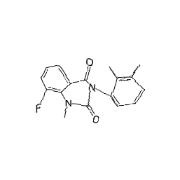 Cc1cccc(-n2c(=O)c3cccc(F)c3n(C)c2=O)c1C